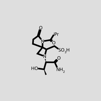 CC(C)C(=O)N1C(=O)CCC12CN([C@H](C(N)=O)[C@@H](C)O)C2CS(=O)(=O)O